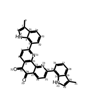 Cc1c[nH]c2c(-c3ccc4c(n3)-c3nc(-c5cccc6c(C)c[nH]c56)ccc3C(=O)C4=O)cccc12